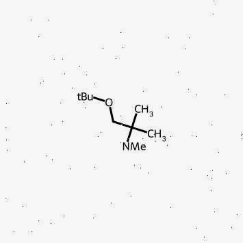 CNC(C)(C)COC(C)(C)C